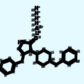 O=C1NCC(Cc2ccccc2)N1C1CCN(Cc2ccccc2)CC1.[Al+3].[H-].[H-].[H-].[H-].[Li+]